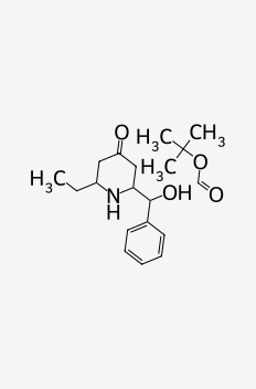 CC(C)(C)OC=O.CCC1CC(=O)CC(C(O)c2ccccc2)N1